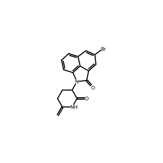 C=C1CCC(N2C(=O)c3cc(Br)cc4cccc2c34)C(=O)N1